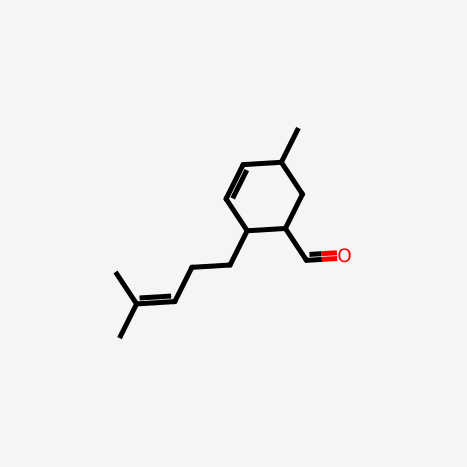 CC(C)=CCCC1C=CC(C)CC1C=O